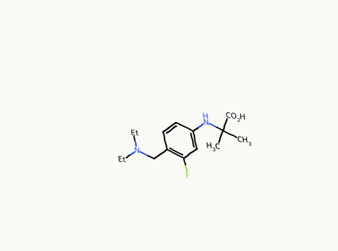 CCN(CC)Cc1ccc(NC(C)(C)C(=O)O)cc1F